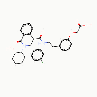 O=C(O)COc1cccc(CCNC(=O)[C@@H]2c3ccccc3C(=O)N([C@H]3CCCC[C@@H]3O)[C@H]2c2ccc(Cl)cc2)c1